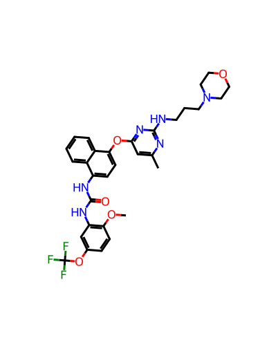 COc1ccc(OC(F)(F)F)cc1NC(=O)Nc1ccc(Oc2cc(C)nc(NCCCN3CCOCC3)n2)c2ccccc12